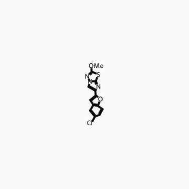 COc1nn2cc(-c3cc4cc(Cl)ccc4o3)nc2s1